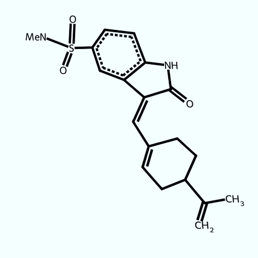 C=C(C)C1CC=C(C=C2C(=O)Nc3ccc(S(=O)(=O)NC)cc32)CC1